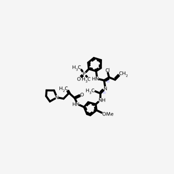 C=C/C(Cl)=C(\N=C(/C)Nc1cc(NC(=O)C(=C)CN2CCCC2)ccc1OC)Nc1ccccc1P(C)(C)=O